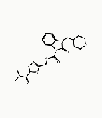 CN(C)C(=O)c1nc(CNC(=O)n2c(=O)n(CC3CCOCC3)c3ccccc32)no1